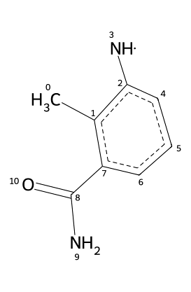 Cc1c([NH])cccc1C(N)=O